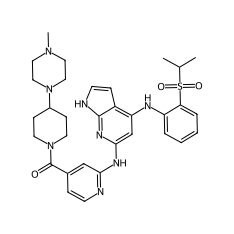 CC(C)S(=O)(=O)c1ccccc1Nc1cc(Nc2cc(C(=O)N3CCC(N4CCN(C)CC4)CC3)ccn2)nc2[nH]ccc12